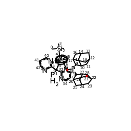 C[Si](C)(C)[C]12[CH]3[C]4(CP(C5C6CC7CC(C6)CC5C7)C5C6CC7CC(C6)CC5C7)[C]5(C(P)(c6ncccn6)c6ncccn6)[CH]1[Fe]34521678[CH]2[CH]1[CH]6[CH]7[CH]28